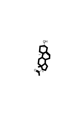 CC(=O)[C@H]1CCC2C3CC=C4C[C@@H](O)CC[C@]4(C)C3CCC21C